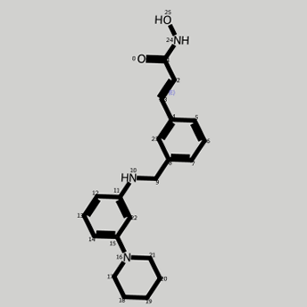 O=C(/C=C/c1cccc(CNc2cccc(N3CCCCC3)c2)c1)NO